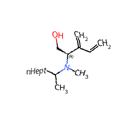 C=CC(=C)[C@H](CO)N(C)C(C)CCCCCCC